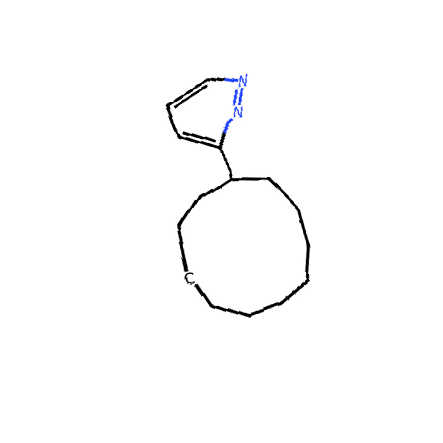 c1cnnc(C2CCCCCCCCCC2)c1